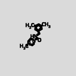 Cc1cc(C)cc(CNC(=O)N2CCN(C)CC2)c1